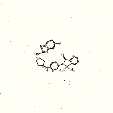 CC1(C)c2cccnc2C(=O)N1c1ccc(N[C@H]2CC[C@H](Nc3nc4cc(F)ccn4n3)C2)nc1